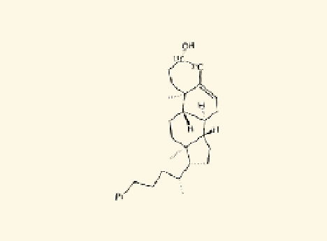 CC(C)CCC[C@@H](C)[C@H]1CC[C@H]2[C@@H]3CC=C4[13CH2][13C@@H](O)CC[C@]4(C)[C@H]3CC[C@]12C